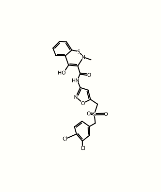 CN1Sc2ccccc2C(O)=C1C(=O)Nc1cc(CS(=O)(=O)Cc2ccc(Cl)c(Cl)c2)on1